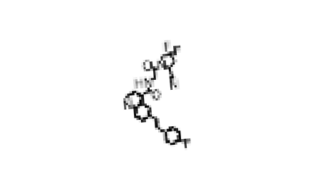 N#CC1CC(F)(F)CN1C(=O)CNC(=O)c1ccnc2ccc(C=Cc3ccc(F)cc3)cc12